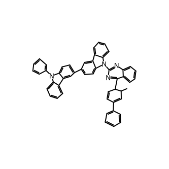 CC1C=C(c2ccccc2)C=CC1c1nc(-n2c3ccccc3c3cc(-c4ccc5c(c4)c4ccccc4n5-c4ccccc4)ccc32)nc2ccccc12